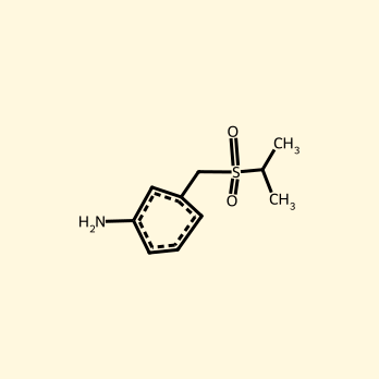 CC(C)S(=O)(=O)Cc1cccc(N)c1